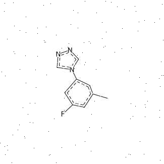 Cc1cc(F)cc(-n2cnnc2)c1